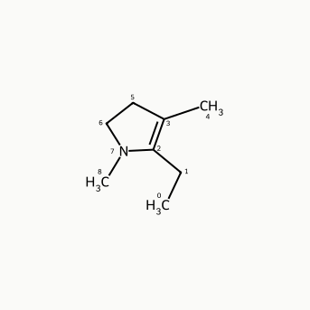 CCC1=C(C)CCN1C